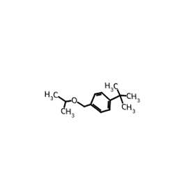 CC(C)OCc1ccc(C(C)(C)C)cc1